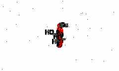 C=C(CC(CC(=O)NCCC[N+](C)(C)CC(O)c1ccccc1)C(=O)O)CC(C)(C)C(C)(C)CC(C)(C)C(C)(C)C